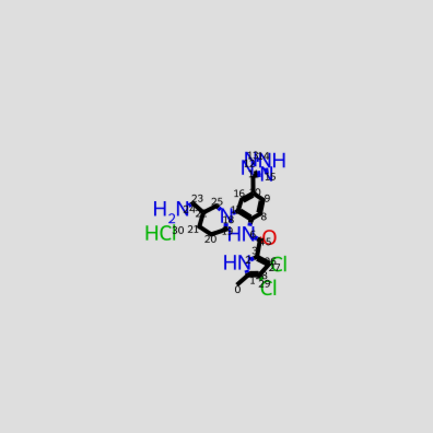 Cc1[nH]c(C(=O)Nc2ccc(-c3nn[nH]n3)cc2N2CCCC(CN)C2)c(Cl)c1Cl.Cl